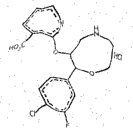 Cl.O=C(O)c1cccnc1OC1CNCCOC1c1ccc(Cl)c(F)c1